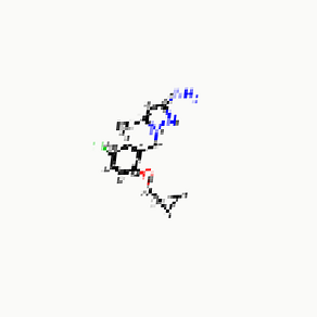 Cc1cc(N)nn1Cc1cc(Cl)ccc1OCC1CC1